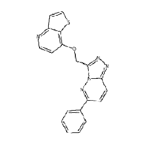 c1ccc(-c2ccc3nnc(COc4ccnc5ccsc45)n3n2)cc1